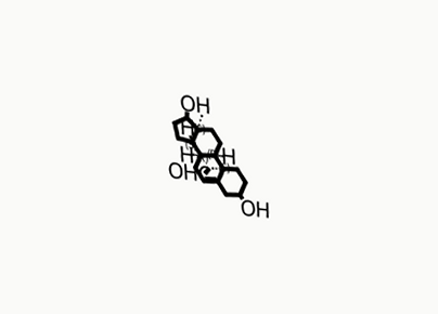 C[C@]12CC[C@@H]3[C@@H](CC=C4CC(O)CC[C@@]43CC=O)[C@@H]1CCC2O